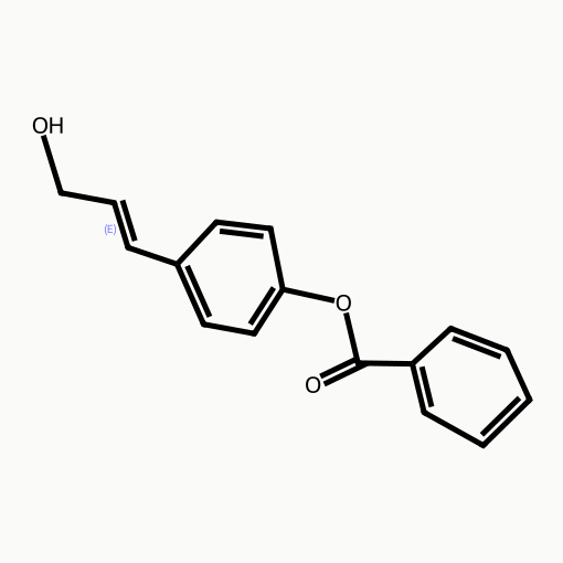 O=C(Oc1ccc(/C=C/CO)cc1)c1ccccc1